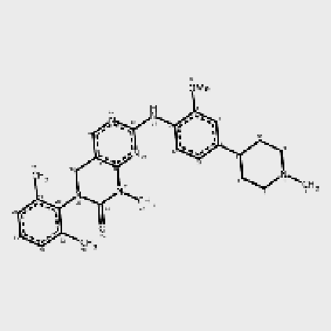 COc1cc(C2CCN(C)CC2)ccc1Nc1ncc2c(n1)N(C)C(=O)N(c1c(C)cccc1C)C2